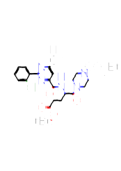 CCOC(=O)N1CCN(C(=O)C(CCC(=O)OC(C)(C)C)NC(=O)c2cc(C)nc(-c3ccccc3Cl)n2)CC1